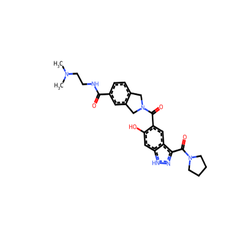 CN(C)CCNC(=O)c1ccc2c(c1)CN(C(=O)c1cc3c(C(=O)N4CCCC4)n[nH]c3cc1O)C2